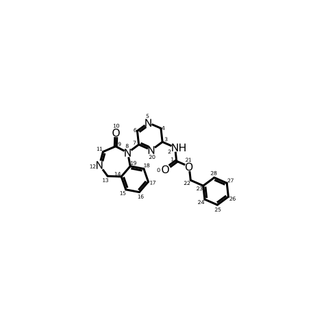 O=C(NC1CN=CC(N2C(=O)C=NCc3ccccc32)=N1)OCc1ccccc1